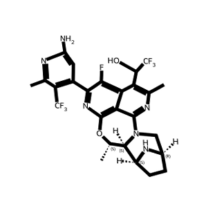 Cc1nc(N)cc(-c2nc3c4c(nc(C)c(C(O)C(F)(F)F)c4c2F)N2C[C@H]4CC[C@H](N4)[C@H]2[C@H](C)O3)c1C(F)(F)F